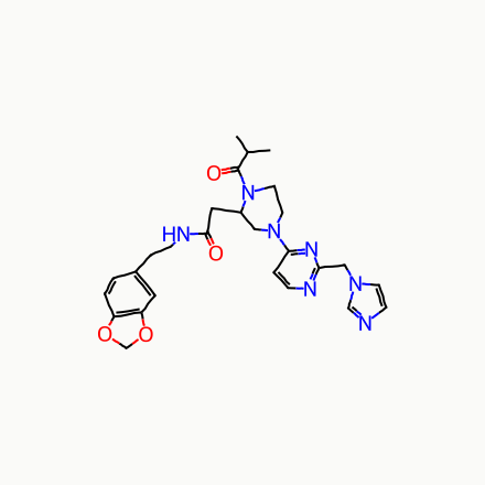 CC(C)C(=O)N1CCN(c2ccnc(Cn3ccnc3)n2)CC1CC(=O)NCCc1ccc2c(c1)OCO2